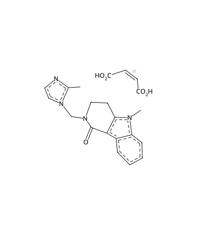 Cc1nccn1CN1CCc2c(c3ccccc3n2C)C1=O.O=C(O)/C=C\C(=O)O